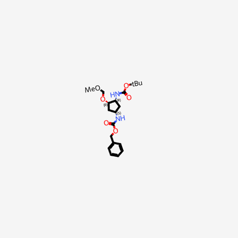 COCO[C@@H]1C[C@@H](NC(=O)OCc2ccccc2)C[C@H]1NC(=O)OC(C)(C)C